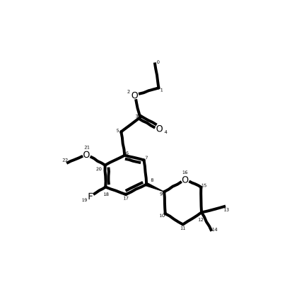 CCOC(=O)Cc1cc([C@@H]2CCC(C)(C)CO2)cc(F)c1OC